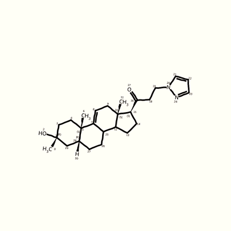 C[C@@]1(O)CC[C@]2(C)C3=CC[C@@]4(C)C(CC[C@@H]4C(=O)CCn4cccn4)C3CC[C@@H]2C1